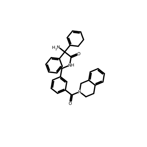 NC(C(=O)NCc1cccc(C(=O)N2CCc3ccccc3C2)c1)(C1=CC=CCC1)c1ccccc1